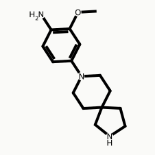 COc1cc(N2CCC3(CCNC3)CC2)ccc1N